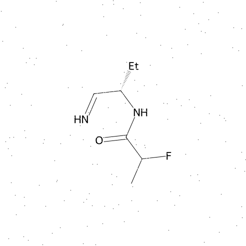 CC[C@@H](C=N)NC(=O)C(C)F